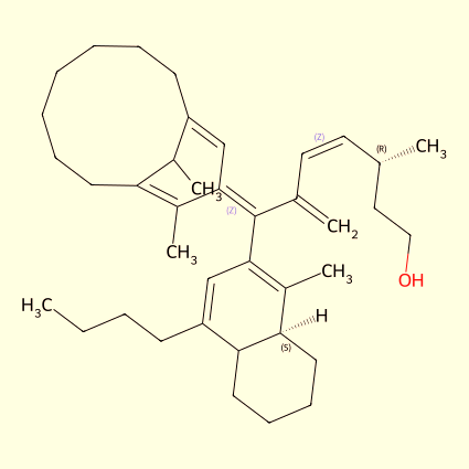 C=C(/C=C\[C@H](C)CCO)/C(C1=C(C)[C@H]2CCCCC2C(CCCC)=C1)=C1\C=C2CCCCCCCC(=C1C)C2C